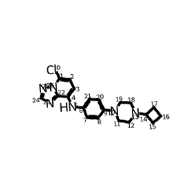 Clc1ccc(Nc2ccc(N3CCN(C4CCC4)CC3)cc2)c2ncnn12